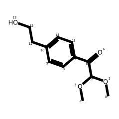 COC(OC)C(=O)c1ccc(CCO)cc1